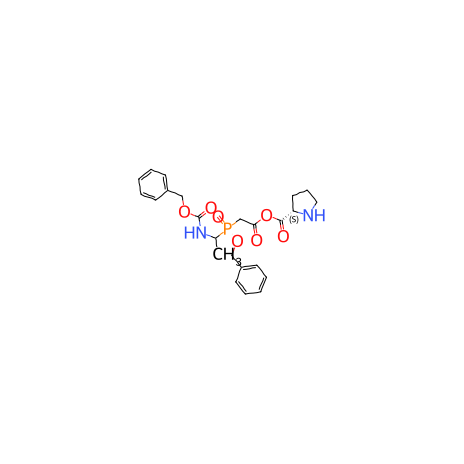 CC(NC(=O)OCc1ccccc1)P(=O)(CC(=O)OC(=O)[C@@H]1CCCN1)OCc1ccccc1